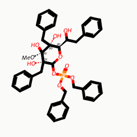 CO[C@]1(O)[C@@](O)(Cc2ccccc2)[C@@H](C(O)Cc2ccccc2)OC(OP(=O)(OCc2ccccc2)OCc2ccccc2)[C@@]1(O)Cc1ccccc1